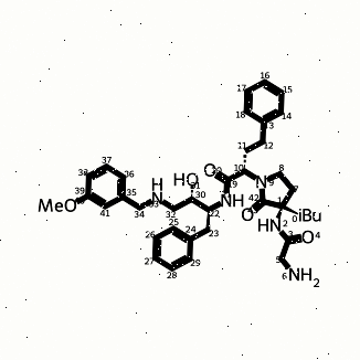 CC[C@H](C)[C@@]1(NC(=O)CN)CCN([C@@H](CCc2ccccc2)C(=O)N[C@@H](Cc2ccccc2)[C@@H](O)CNCc2cccc(OC)c2)C1=O